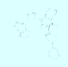 O=c1c2ccccc2n(-c2cccc(-n3c4ccccc4c4ccccc43)c2)c(=O)n1-c1ccc(-c2ccccc2)cc1